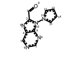 O=Cc1nc2cncnc2n1-n1cccc1